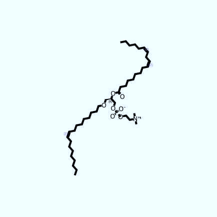 CCCCC/C=C\C/C=C\CCCCCCCC(=O)O[C@H](COCCCCCCCC/C=C\CCCCCCCC)COP(=O)([O-])OCC[N+](C)(C)C